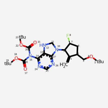 C=C1C(COC(C)(C)C)C[C@H](F)C1N1CNc2c(N(C(=O)OC(C)(C)C)C(=O)OC(C)(C)C)ncnc21